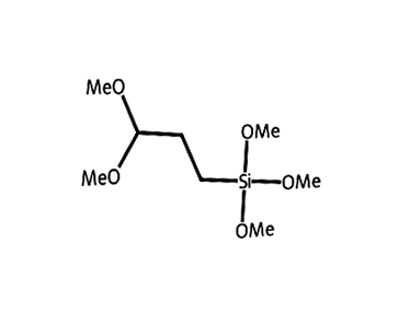 COC(CC[Si](OC)(OC)OC)OC